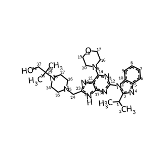 CC(C)c1nc2ccccc2n1-c1nc(N2CCOCC2)c2nc(CN3CCN(C(C)(C)CO)CC3)[nH]c2n1